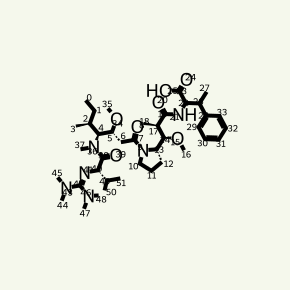 CC[C@H](C)[C@@H]([C@@H](CC(=O)N1CCC[C@H]1[C@H](OC)[C@@H](C)C(=O)NC(C(=O)O)C(C)c1ccccc1)OC)N(C)C(=O)[C@@H](N=C(N(C)C)N(C)C)C(C)C